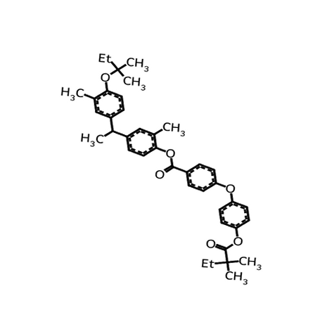 CCC(C)(C)Oc1ccc(C(C)c2ccc(OC(=O)c3ccc(Oc4ccc(OC(=O)C(C)(C)CC)cc4)cc3)c(C)c2)cc1C